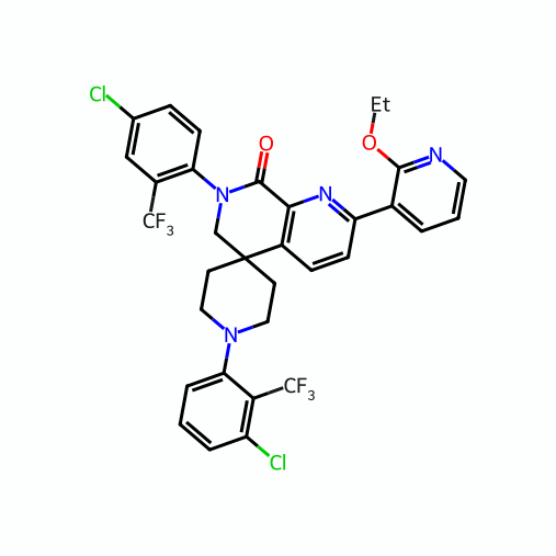 CCOc1ncccc1-c1ccc2c(n1)C(=O)N(c1ccc(Cl)cc1C(F)(F)F)CC21CCN(c2cccc(Cl)c2C(F)(F)F)CC1